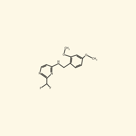 COc1ccc(CNc2ccnc(C(F)F)n2)c(OC)c1